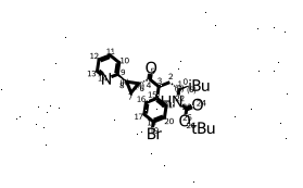 CC[C@H](C)[C@@H](CC(C(=O)[C@@H]1C[C@H]1c1ccccn1)c1ccc(Br)cc1)NC(=O)OC(C)(C)C